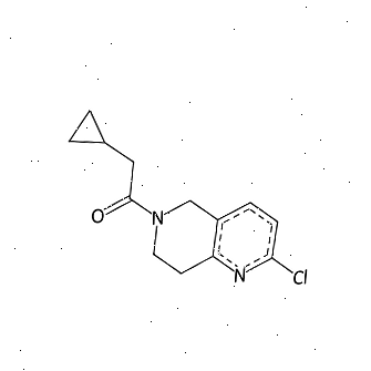 O=C(CC1CC1)N1CCc2nc(Cl)ccc2C1